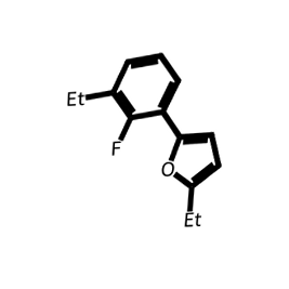 CCc1ccc(-c2cccc(CC)c2F)o1